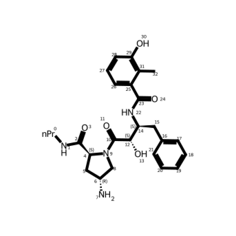 CCCNC(=O)[C@@H]1C[C@@H](N)CN1C(=O)[C@@H](O)[C@H](Cc1ccccc1)NC(=O)c1cccc(O)c1C